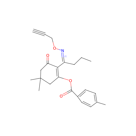 C#CCO/N=C(/CCC)C1=C(OC(=O)c2ccc(C)cc2)CC(C)(C)CC1=O